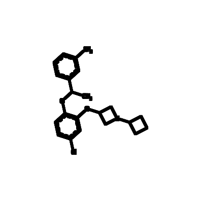 CC(Oc1ccc(Cl)cc1OC1CN(C2CCC2)C1)c1cccc(C(F)(F)F)c1